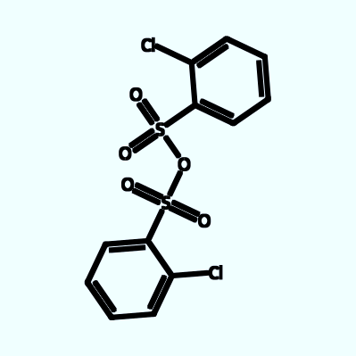 O=S(=O)(OS(=O)(=O)c1ccccc1Cl)c1ccccc1Cl